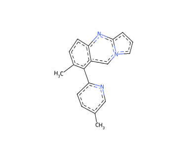 Cc1ccc(-c2c(C)ccc3nc4cccn4cc23)nc1